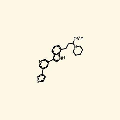 COC(CCc1cccc2c(-c3cncc(-c4ccsc4)c3)c[nH]c12)N1CCCCC1